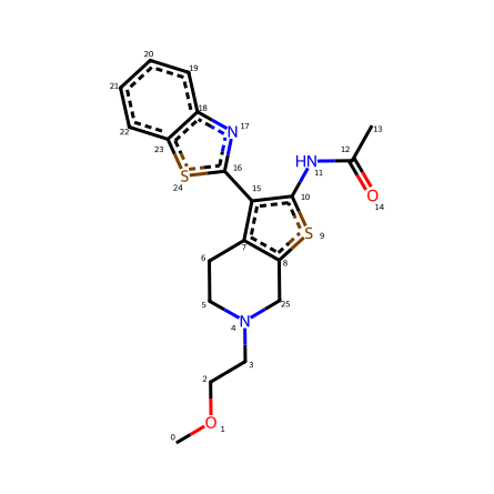 COCCN1CCc2c(sc(NC(C)=O)c2-c2nc3ccccc3s2)C1